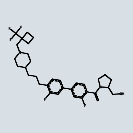 C=C(c1ccc(-c2ccc(CCCC3CCN(CC4(C(F)(F)F)CCC4)CC3)c(F)c2)cc1F)N1CCCC1CO